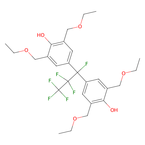 CCOCc1cc(C(F)(c2cc(COCC)c(O)c(COCC)c2)C(F)(F)C(F)(F)F)cc(COCC)c1O